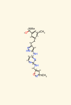 CNC(=O)c1cc(C)cc(CCc2cc(Nc3ccnc(NCc4cc(C)no4)n3)[nH]n2)c1